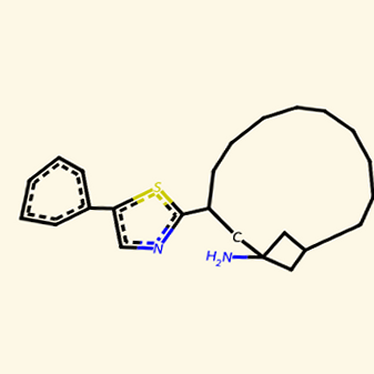 NC12CC(CCCCCCCCCC(c3ncc(-c4ccccc4)s3)C1)C2